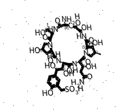 C[C@@H](O)[C@@H]1NC(=O)[C@H](N)C[C@@H](O)[C@@H](O)NC(=O)[C@@H]2[C@@H](O)[C@@H](C)CN2C(=O)[C@H]([C@H](O)CC(N)=O)NC(=O)[C@H]([C@H](O)[C@@H](O)c2ccc(O)c(CS(=O)(=O)O)c2)NC(=O)[C@@H]2C[C@@H](O)CN2C1=O